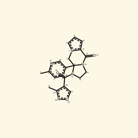 Cc1cnc(C23Cn4cccc4C(=O)N2CCN3C(=O)c2conc2C)cn1